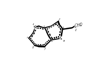 O=Cc1cc2ncccc2s1